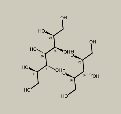 OC[C@@H](O)[C@@H](O)[C@@H](O)CO.OC[C@@H](O)[C@@H](O)[C@H](O)[C@H](O)[C@@H](O)CO